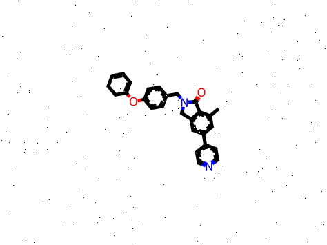 Cc1cc(-c2ccncc2)cc2c1C(=O)N(Cc1ccc(OC3=CC=CCC3)cc1)C2